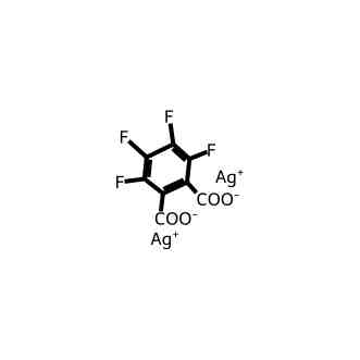 O=C([O-])c1c(F)c(F)c(F)c(F)c1C(=O)[O-].[Ag+].[Ag+]